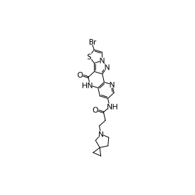 O=C(CCN1CCC2(CC2)C1)Nc1cnc2c(c1)[nH]c(=O)c1c2nn2cc(Br)sc12